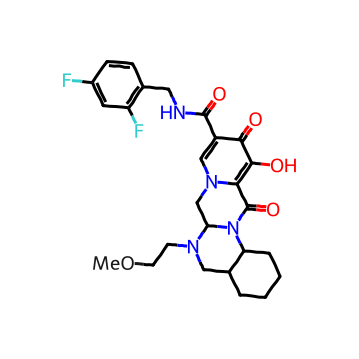 COCCN1CC2CCCCC2N2C(=O)c3c(O)c(=O)c(C(=O)NCc4ccc(F)cc4F)cn3CC12